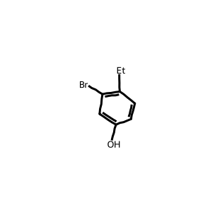 CCc1ccc(O)cc1Br